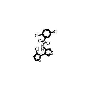 O=S(=O)(Nc1cscc1-c1sccc1Cl)c1cc(Cl)ccc1Cl